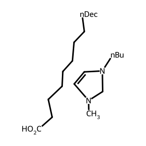 CCCCCCCCCCCCCCCCCC(=O)O.CCCCN1C=CN(C)C1